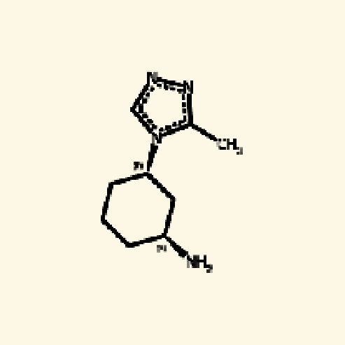 Cc1nncn1[C@@H]1CCC[C@H](N)C1